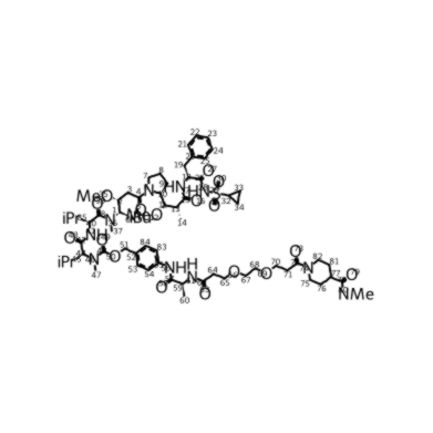 CC[C@H](C)[C@@H]([C@@H](CC(=O)N1CCC[C@H]1[C@H](OC)[C@@H](C)C(=O)N[C@@H](Cc1ccccc1)C(=O)NS(=O)(=O)C1CC1)OC)N(C)C(=O)[C@@H](NC(=O)[C@H](C(C)C)N(C)C(=O)OCc1ccc(NC(=O)[C@H](C)NC(=O)CCOCCOCCC(=O)N2CCC(C(=O)NC)CC2)cc1)C(C)C